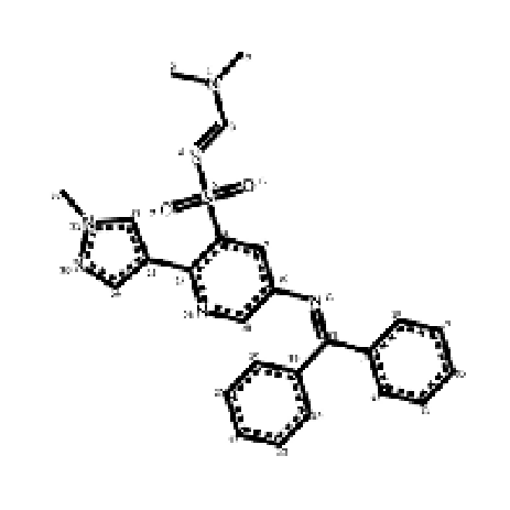 CN(C)/C=N/S(=O)(=O)c1cc(N=C(c2ccccc2)c2ccccc2)cnc1-c1cnn(C)c1